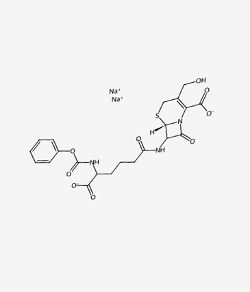 O=C(CCCC(NC(=O)Oc1ccccc1)C(=O)[O-])NC1C(=O)N2C(C(=O)[O-])=C(CO)CS[C@@H]12.[Na+].[Na+]